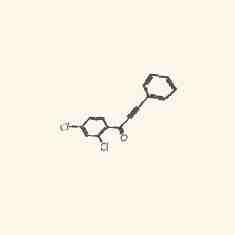 O=C(C#Cc1ccccc1)c1ccc(Cl)cc1Cl